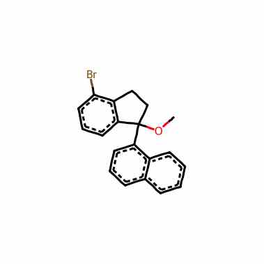 COC1(c2cccc3ccccc23)CCc2c(Br)cccc21